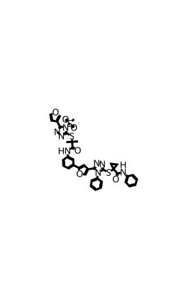 CC(C)(Sc1nnc(-c2ccoc2)n1S(C)(=O)=O)C(=O)Nc1cccc(-c2cc(-c3nnc(SC4(C(=O)Nc5ccccc5)CC4)n3-c3ccccc3)co2)c1